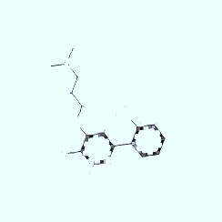 CN(C)CCCOc1cc(-c2ccccc2O)nnc1N